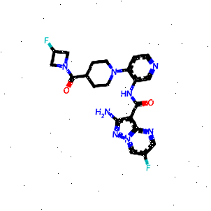 Nc1nn2cc(F)cnc2c1C(=O)Nc1cnccc1N1CCC(C(=O)N2CC(F)C2)CC1